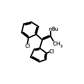 CCCCC(C)=C(c1ccccc1Cl)c1ccccc1Cl